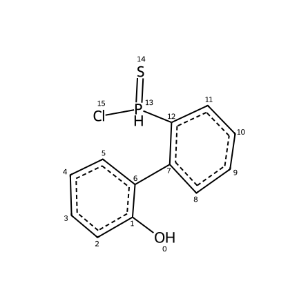 Oc1ccccc1-c1ccccc1[PH](=S)Cl